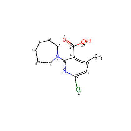 Cc1cc(Cl)nc(N2CCCCCC2)c1C(=O)O